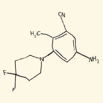 Cc1c(C#N)cc(N)cc1N1CCC(F)(F)CC1